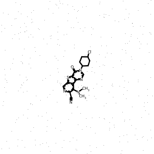 CN(C)c1c(C#N)ncc2sc3c(=O)n(C4CCC(Cl)CC4)cnc3c12